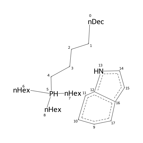 CCCCCCCCCCCCCC[PH](CCCCCC)(CCCCCC)CCCCCC.c1ccc2[nH]ccc2c1